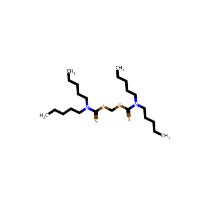 CCCCCN(CCCCC)C(=S)SCSC(=S)N(CCCCC)CCCCC